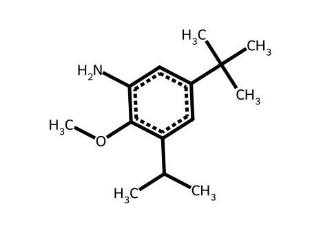 COc1c(N)cc(C(C)(C)C)cc1C(C)C